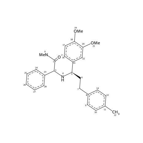 CNC(=O)C(N[C@H](CCc1ccc(C)cc1)c1ccc(OC)c(OC)c1)c1ccccc1